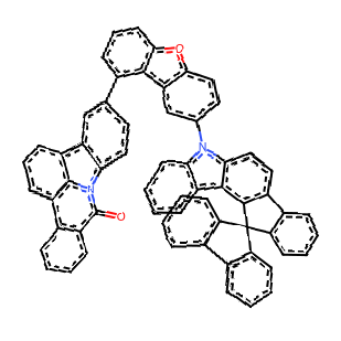 O=c1c2ccccc2c2cccc3c4cc(-c5cccc6oc7ccc(-n8c9ccccc9c9c%10c(ccc98)-c8ccccc8C%108c9ccccc9-c9ccccc98)cc7c56)ccc4n1c23